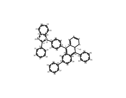 C[C@@]12CC=CC=C1C(c1ccc(-n3c(-c4ccccc4)nc4ccccc43)cc1)=c1cc(-c3ccccc3)ccc1=C2c1ccccc1